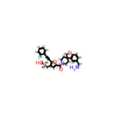 C[Si](C)(O)Cc1cc(C(=O)N2CCC3(CC2)COc2ccc(CN)cc23)oc1C#Cc1ccccc1F